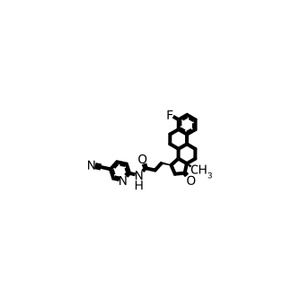 C[C@]12CCC3c4cccc(F)c4CCC3C1[C@H](CCC(=O)Nc1ccc(C#N)cn1)CC2=O